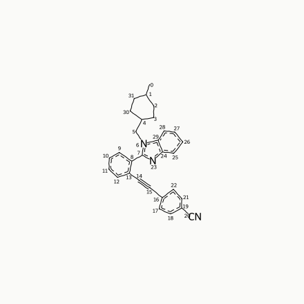 CC1CCC(Cn2c(-c3ccccc3C#Cc3ccc(C#N)cc3)nc3ccccc32)CC1